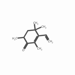 C=CC1=C(C)C(=O)C(C)CC1(C)C